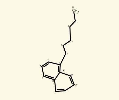 CCCCCCc1[c]ccc2ccccc12